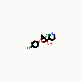 OC(COc1ccc(Cl)cc1)(c1cccnc1)C1(Cl)CC1